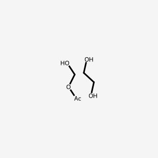 CC(=O)OCO.OCCO